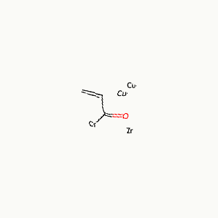 C=C[C](=O)[Cr].[Cu].[Cu].[Zr]